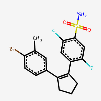 Cc1cc(C2=C(c3cc(F)c(S(N)(=O)=O)cc3F)CCC2)ccc1Br